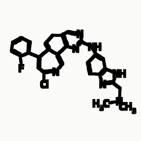 CN(C)Cc1nc2ccc(Nc3ncc4c(n3)C3=CN=C(Cl)C=C(c5ccccc5F)C3=CC4)cc2[nH]1